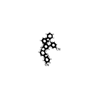 N#Cc1ccc(-n2c3c(c4ccccc42)C=CCC3)c(-c2ccc3c(c2)C2c4sc5ccc(C#N)cc5c4C=CC2S3)c1